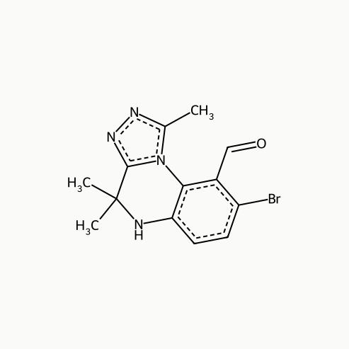 Cc1nnc2n1-c1c(ccc(Br)c1C=O)NC2(C)C